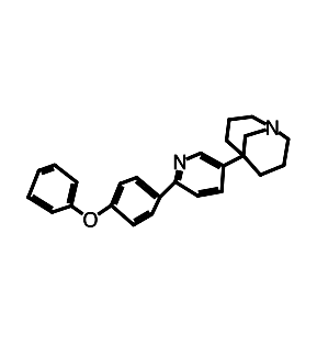 c1ccc(Oc2ccc(-c3ccc(C45CCCN(CCC4)C5)cn3)cc2)cc1